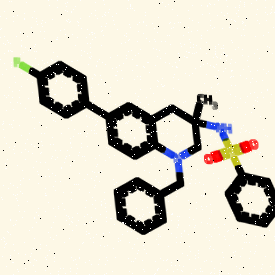 CC1(NS(=O)(=O)c2ccccc2)Cc2cc(-c3ccc(F)cc3)ccc2N(Cc2ccccc2)C1